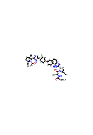 CCCC(=O)N1[C@@H]2CC[C@@H](C2)[C@H]1c1ncc(-c2ccc(-c3ccc4c(ccc5nc([C@@H]6CC7C(C)C7N6C(=O)[C@@H](NC(=O)OC)C(C)C)[nH]c54)c3)cc2F)[nH]1